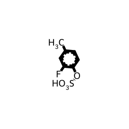 Cc1ccc(OS(=O)(=O)O)c(F)c1